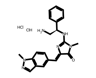 CN1C(=O)/C(=C/c2ccc3c(cnn3C)c2)N=C1N[C@@H](CN)c1ccccc1.Cl.Cl